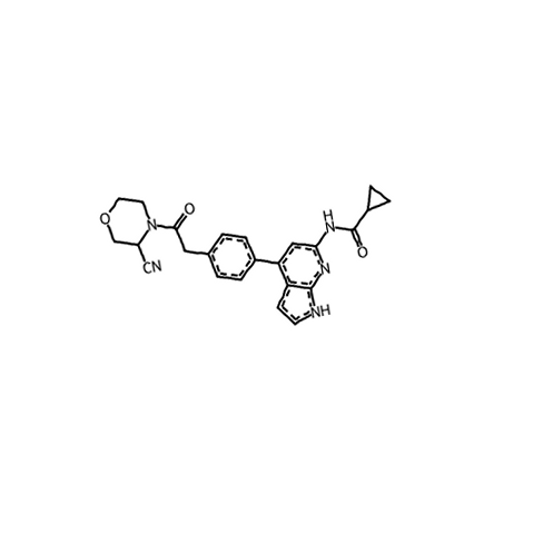 N#CC1COCCN1C(=O)Cc1ccc(-c2cc(NC(=O)C3CC3)nc3[nH]ccc23)cc1